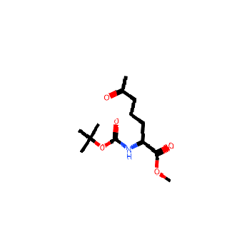 COC(=O)C(CCCC(C)=O)NC(=O)OC(C)(C)C